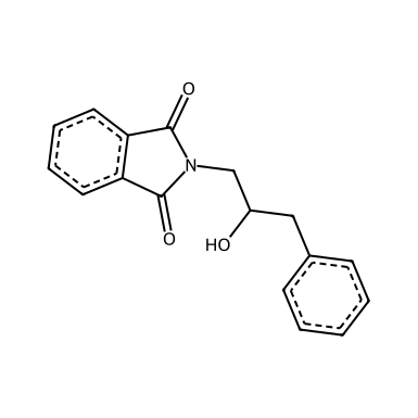 O=C1c2ccccc2C(=O)N1CC(O)Cc1ccccc1